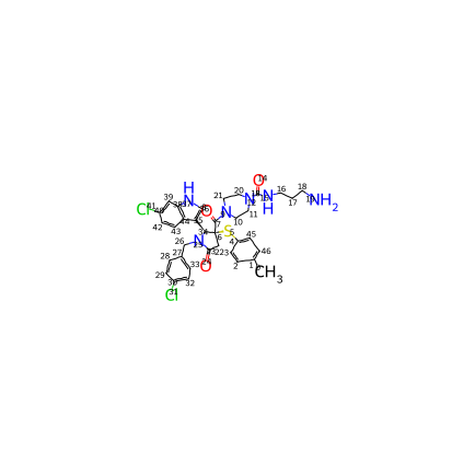 Cc1ccc(S[C@@]2(C(=O)N3CCN(C(=O)NCCCN)CC3)CC(=O)N(Cc3ccc(Cl)cc3)[C@H]2c2c[nH]c3cc(Cl)ccc23)cc1